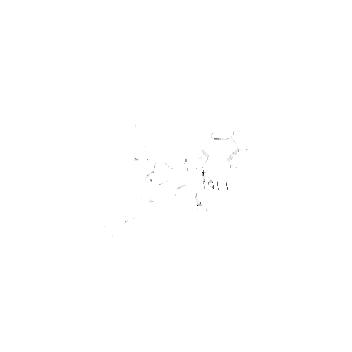 CCCOc1ccc(/C=C2/C(=O)NN(c3ccccc3)C2=O)c(OCCC)n1